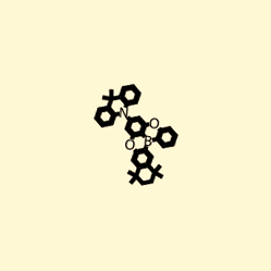 CC1(C)CCC(C)(C)c2cc3c(cc21)Oc1cc(N2c4ccccc4C(C)(C)c4ccccc42)cc2c1B3c1ccccc1O2